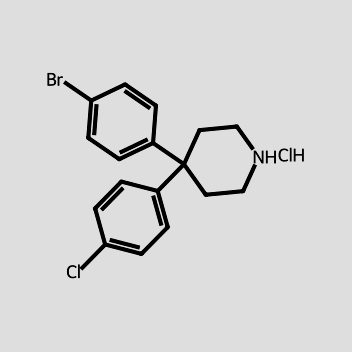 Cl.Clc1ccc(C2(c3ccc(Br)cc3)CCNCC2)cc1